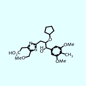 COCc1sc(CC(OC2CCCC2)[C@H](O)c2cc(OC)c(C)c(OC)c2)nc1CC(=O)O